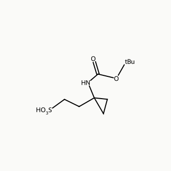 CC(C)(C)OC(=O)NC1(CCS(=O)(=O)O)CC1